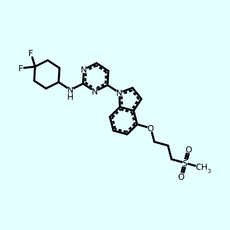 CS(=O)(=O)CCCOc1cccc2c1ccn2-c1ccnc(NC2CCC(F)(F)CC2)n1